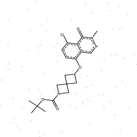 Cn1ncc2c(OC3CC4(C3)CN(C(=O)OC(C)(C)C)C4)ccc(Cl)c2c1=O